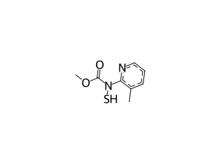 COC(=O)N(S)c1ncccc1C